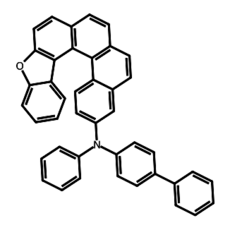 c1ccc(-c2ccc(N(c3ccccc3)c3ccc4c(ccc5ccc6ccc7oc8ccccc8c7c6c54)c3)cc2)cc1